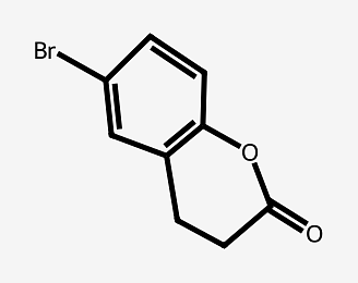 O=C1CCc2cc(Br)ccc2O1